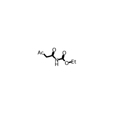 CCOC(=O)NC(=O)CC(C)=O